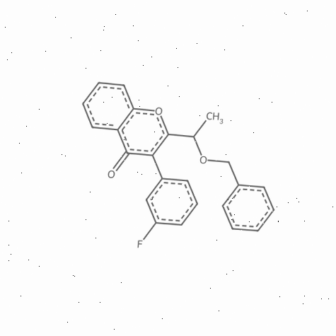 CC(OCc1ccccc1)c1oc2ccccc2c(=O)c1-c1cccc(F)c1